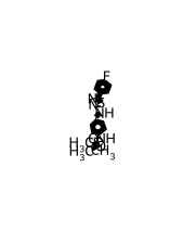 CC(C)(C)S(=O)(=O)N[C@H]1CC[C@H](CNc2nnc(-c3ccc(F)cc3)s2)CC1